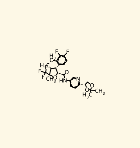 Cc1c([C@@H]2[C@@H](C(=O)Nc3ccc([C@@H]4COC(C)(C)O4)nc3)O[C@@](C)(C(F)(F)F)[C@H]2C)ccc(F)c1F